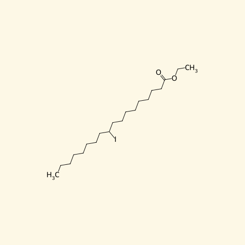 CCCCCCCCC(I)CCCCCCCCC(=O)OCC